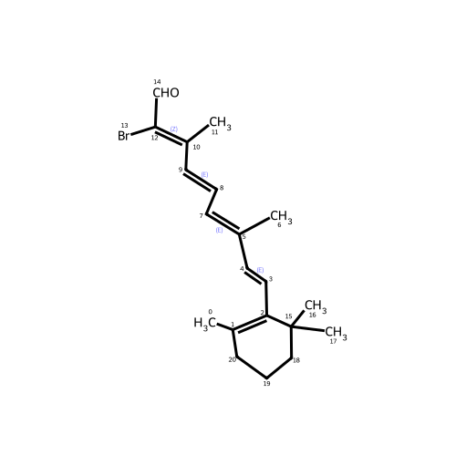 CC1=C(/C=C/C(C)=C/C=C/C(C)=C(\Br)C=O)C(C)(C)CCC1